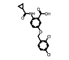 O=C(O)c1cc(OCc2ccc(Cl)cc2Cl)ccc1NC(=O)C1CC1